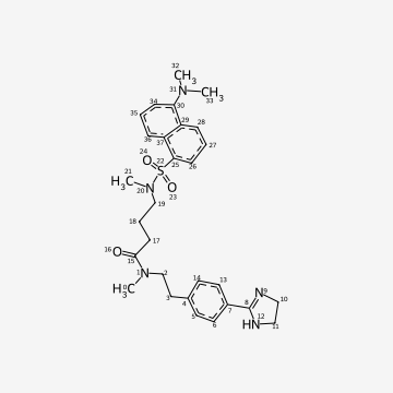 CN(CCc1ccc(C2=NCCN2)cc1)C(=O)CCCN(C)S(=O)(=O)c1cccc2c(N(C)C)cccc12